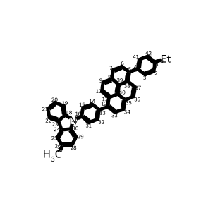 CCc1ccc(-c2ccc3ccc4c(-c5ccc(-n6c7ccccc7c7cc(C)ccc76)cc5)ccc5ccc2c3c54)cc1